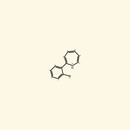 Brc1ccccc1C1=CC=CC=CN1